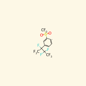 O=S(=O)(c1[c]ccc(C(F)(C(F)(F)F)C(F)(F)C(F)(F)F)c1)C(F)(F)F